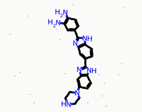 Nc1ccc(-c2nc3cc(-c4nc5cc(N6CCNCC6)ccc5[nH]4)ccc3[nH]2)cc1N